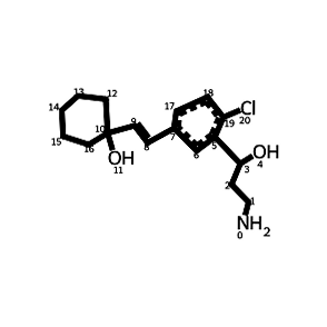 NCCC(O)c1cc(C=CC2(O)CCCCC2)ccc1Cl